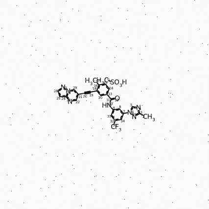 CS(=O)(=O)O.Cc1ncn(-c2cc(NC(=O)c3ccc(C)c(C#Cc4cnc5ccnn5c4)c3)cc(C(F)(F)F)c2)n1